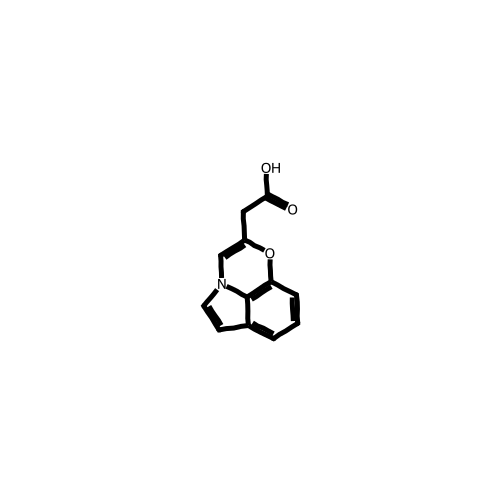 O=C(O)CC1=Cn2ccc3cccc(c32)O1